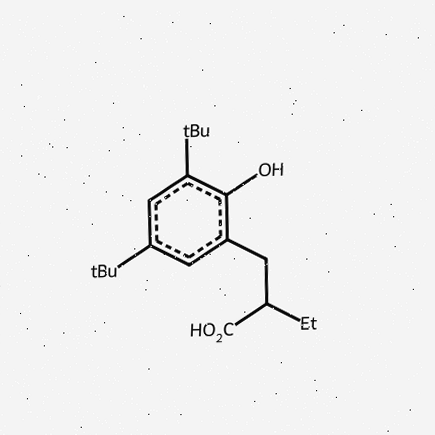 CCC(Cc1cc(C(C)(C)C)cc(C(C)(C)C)c1O)C(=O)O